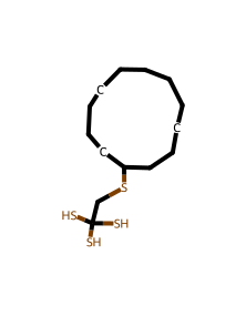 SC(S)(S)CSC1CCCCCCCCCCC1